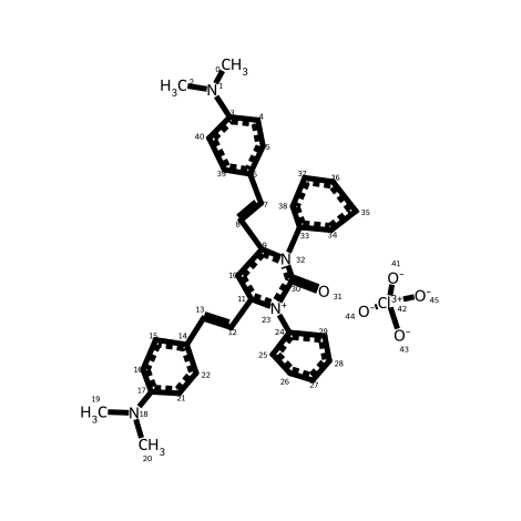 CN(C)c1ccc(C=Cc2cc(C=Cc3ccc(N(C)C)cc3)[n+](-c3ccccc3)c(=O)n2-c2ccccc2)cc1.[O-][Cl+3]([O-])([O-])[O-]